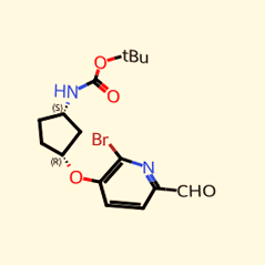 CC(C)(C)OC(=O)N[C@H]1CC[C@@H](Oc2ccc(C=O)nc2Br)C1